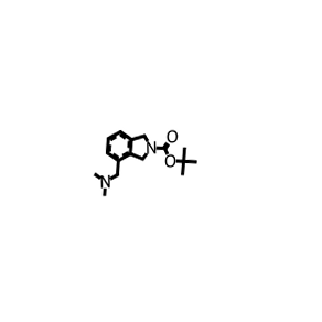 CN(C)Cc1cccc2c1CN(C(=O)OC(C)(C)C)C2